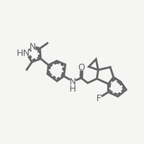 Cc1n[nH]c(C)c1-c1ccc(NC(=O)CC2c3c(F)cccc3CC23CC3)cc1